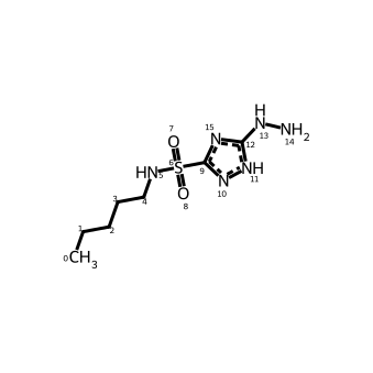 CCCCCNS(=O)(=O)c1n[nH]c(NN)n1